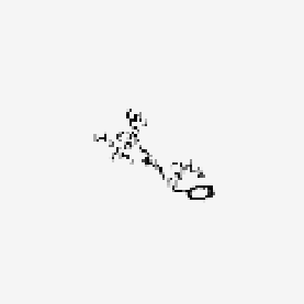 C=CN(CCNCCC[Si](C)(OCC)OCC)Cc1ccccc1